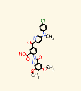 COc1cc(OC)cc(C(=O)Nc2ccc(C(=O)c3ccc(N(C)c4ccc(Cl)cc4)cn3)cc2C(=O)O)c1